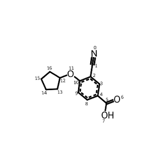 N#Cc1cc(C(=O)O)ccc1OC1CCCC1